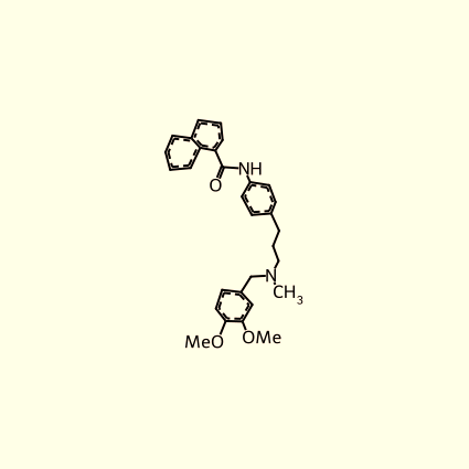 COc1ccc(CN(C)CCCc2ccc(NC(=O)c3cccc4ccccc34)cc2)cc1OC